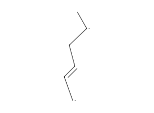 [CH2]C=CC[CH]C